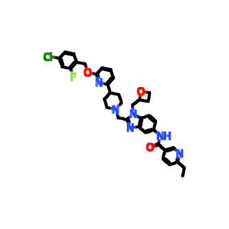 CCc1ccc(C(=O)Nc2ccc3c(c2)nc(CN2CCC(c4cccc(OCc5ccc(Cl)cc5F)n4)CC2)n3CC2CCO2)cn1